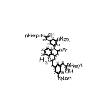 CCCCCCCCCc1cc(CC(C)CC(CC(CCC)Cc2cc(CCCCCCCCC)cc(CC(O)CCCCCCC)c2)c2[c]cccc2)cc(CC(O)CCCCCCC)c1